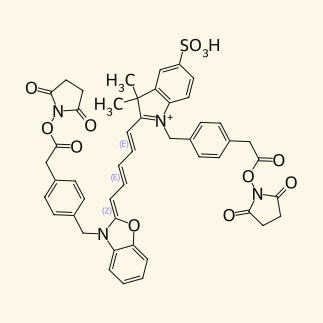 CC1(C)C(/C=C/C=C/C=C2\Oc3ccccc3N2Cc2ccc(CC(=O)ON3C(=O)CCC3=O)cc2)=[N+](Cc2ccc(CC(=O)ON3C(=O)CCC3=O)cc2)c2ccc(S(=O)(=O)O)cc21